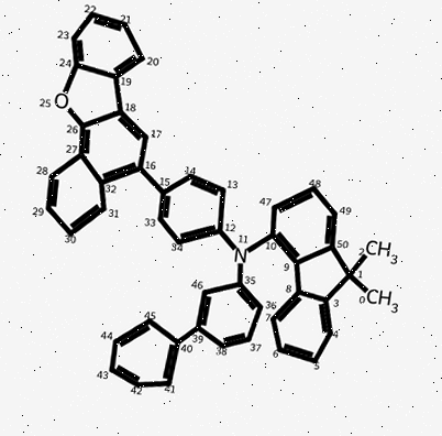 CC1(C)c2ccccc2-c2c(N(c3ccc(-c4cc5c6ccccc6oc5c5ccccc45)cc3)c3cccc(-c4ccccc4)c3)cccc21